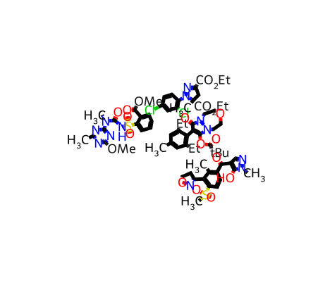 CCOC(=O)C1=NN(c2ccc(Cl)cc2Cl)C(C)(C(=O)OCC)C1.CCc1cc(C)cc(CC)c1-c1c(OC(=O)C(C)(C)C)n2n(c1=O)CCOCC2.COC(=O)c1ccccc1S(=O)(=O)NC(=O)N(C)c1nc(C)nc(OC)n1.Cc1c(C(=O)c2cnn(C)c2O)ccc(S(C)(=O)=O)c1C1=NOCC1